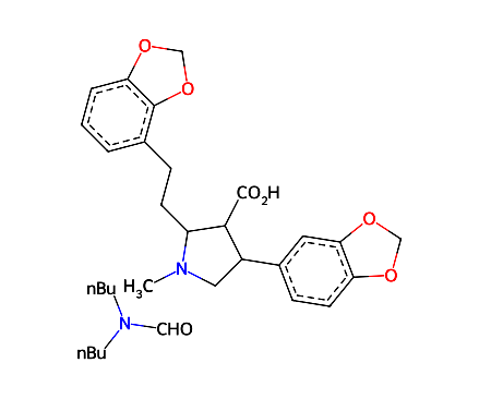 CCCCN(C=O)CCCC.CN1CC(c2ccc3c(c2)OCO3)C(C(=O)O)C1CCc1cccc2c1OCO2